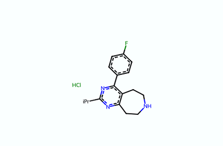 CC(C)c1nc2c(c(-c3ccc(F)cc3)n1)CCNCC2.Cl